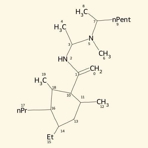 C=C(NC(C)N(C)C(C)CCCCC)C1C(C)CC(CC)C(CCC)C1C